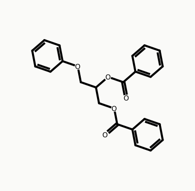 O=C(OCC(COc1ccccc1)OC(=O)c1ccccc1)c1ccccc1